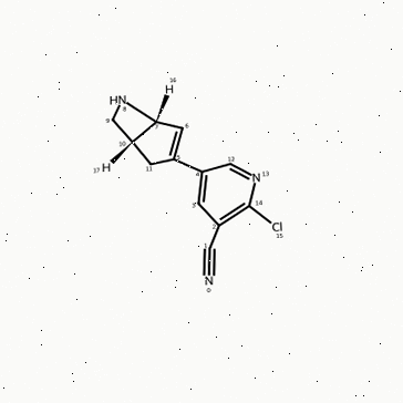 N#Cc1cc(C2=C[C@H]3NC[C@H]3C2)cnc1Cl